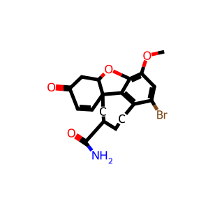 COc1cc(Br)c2c3c1OC1CC(=O)C=CC31CC(C(N)=O)CC2